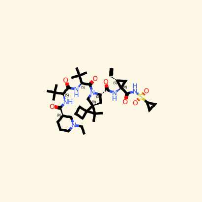 C=C[C@@H]1C[C@]1(NC(=O)[C@@H]1C[C@@]2(CN1C(=O)[C@@H](NC(=O)[C@@H](NC(=O)[C@@H]1CCCN(CC)C1)C(C)(C)C)C(C)(C)C)C(C)(C)C21CCC1)C(=O)NS(=O)(=O)C1CC1